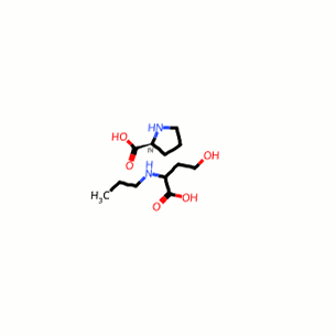 CCCNC(CCO)C(=O)O.O=C(O)[C@@H]1CCCN1